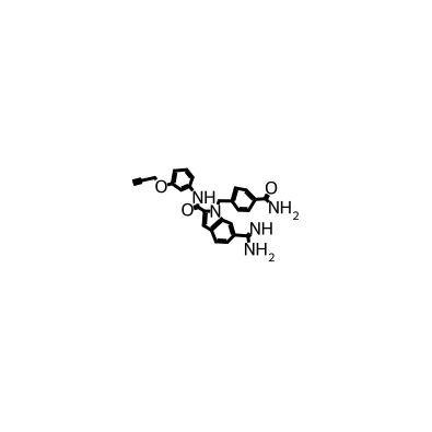 C#CCOc1cccc(NC(=O)c2cc3ccc(C(=N)N)cc3n2Cc2ccc(C(N)=O)cc2)c1